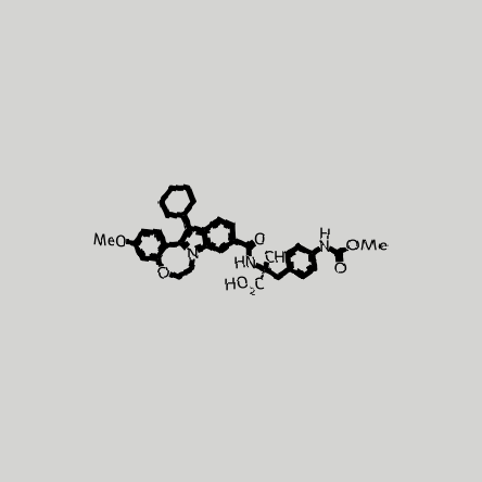 COC(=O)Nc1ccc(C[C@](C)(NC(=O)c2ccc3c(C4CCCCC4)c4n(c3c2)CCOc2cc(OC)ccc2-4)C(=O)O)cc1